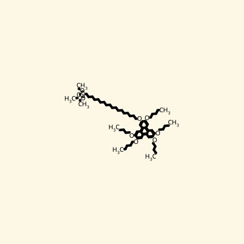 CCCCCOc1cc2c3cc(OCCCCC)c(OCCCCC)cc3c3cc(OCCCCCCCCCCCCCCCCCC[Si](OCC)(OCC)OCC)c(OCCCCC)cc3c2cc1OCCCCC